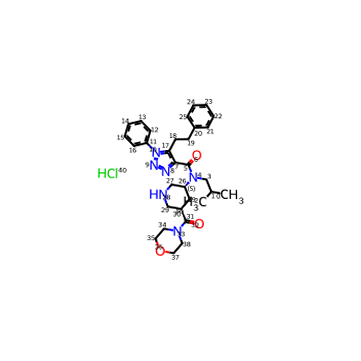 CC(C)CN(C(=O)c1nnn(-c2ccccc2)c1CCc1ccccc1)[C@@H]1CNC[C@H](C(=O)N2CCOCC2)C1.Cl